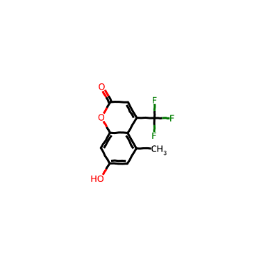 Cc1cc(O)cc2oc(=O)cc(C(F)(F)F)c12